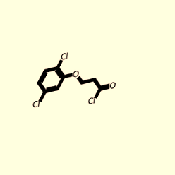 O=C(Cl)CCOc1cc(Cl)ccc1Cl